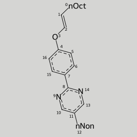 CCCCCCCC/C=C/Oc1ccc(-c2ncc(CCCCCCCCC)cn2)cc1